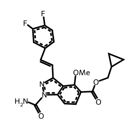 COc1c(C(=O)OCC2CC2)ccc2c1c(C=Cc1ccc(F)c(F)c1)nn2C(N)=O